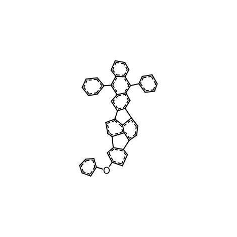 c1ccc(Oc2ccc3c(c2)-c2ccc4c5c(ccc-3c25)-c2cc3c(-c5ccccc5)c5ccccc5c(-c5ccccc5)c3cc2-4)cc1